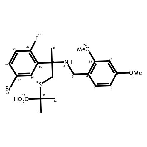 COc1ccc(CNC(C)(CSC(C)(C)C(=O)O)c2cc(Br)ccc2F)c(OC)c1